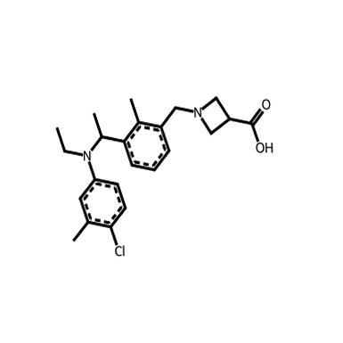 CCN(c1ccc(Cl)c(C)c1)C(C)c1cccc(CN2CC(C(=O)O)C2)c1C